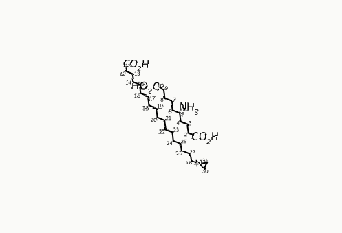 N.O=C(O)CCCCCCCCC(=O)O.O=C(O)CCCCCCCCCCCCCCCCCN1CC1